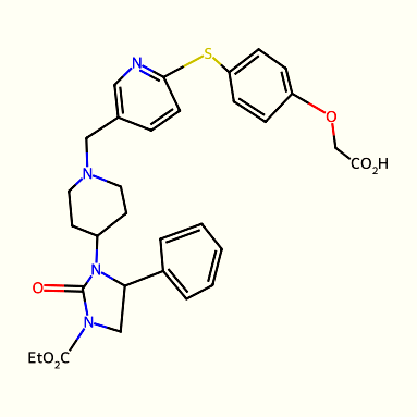 CCOC(=O)N1CC(c2ccccc2)N(C2CCN(Cc3ccc(Sc4ccc(OCC(=O)O)cc4)nc3)CC2)C1=O